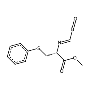 COC(=O)[C@H](CSc1ccccc1)/N=C/B=O